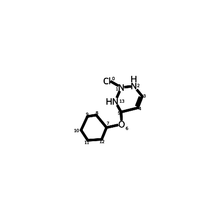 ClN1NC=C[C](OC2CCCCC2)N1